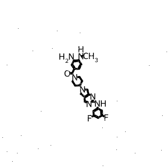 CNc1ccc(C(=O)N2CCC(N3Cc4cnc(Nc5cc(F)cc(F)c5)nc4C3)CC2)cc1N